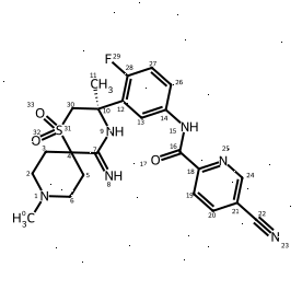 CN1CCC2(CC1)C(=N)N[C@](C)(c1cc(NC(=O)c3ccc(C#N)cn3)ccc1F)CS2(=O)=O